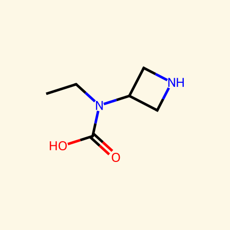 CCN(C(=O)O)C1CNC1